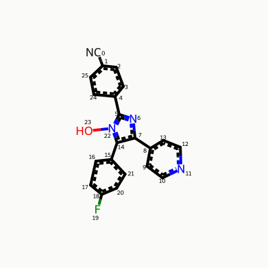 N#Cc1ccc(-c2nc(-c3ccncc3)c(-c3ccc(F)cc3)n2O)cc1